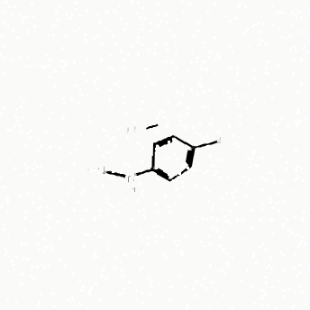 NNc1ccc(F)cc1.O=S(=O)(O)O